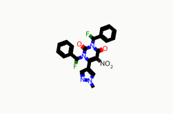 Cn1cc(-c2c([N+](=O)[O-])c(=O)n(C(F)c3ccccc3)c(=O)n2C(F)c2ccccc2)cn1